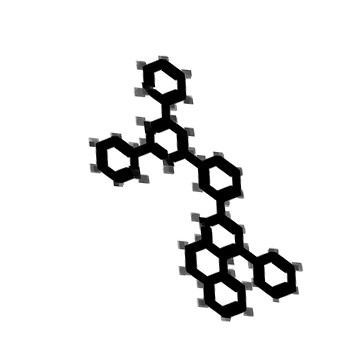 c1ccc(-c2cc(-c3cccc(-c4cc(-c5ccccn5)nc(-c5ccccn5)n4)c3)nc3ccc4ccccc4c23)cc1